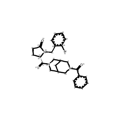 O=C(c1ccccc1)N1CC2CC(C1)CN(C(=O)[C@@H]1CCC(=O)N1Cc1ccccc1Br)C2